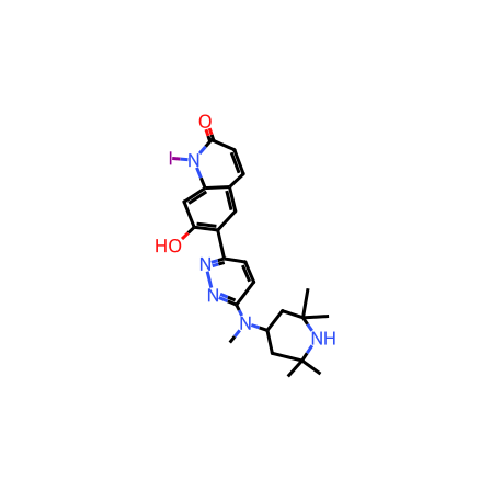 CN(c1ccc(-c2cc3ccc(=O)n(I)c3cc2O)nn1)C1CC(C)(C)NC(C)(C)C1